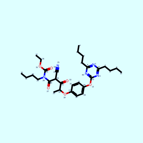 CCCCc1nc(CCCC)nc(Oc2ccc(OC(C)C(=O)C(C#N)C(=O)N(CCCC)C(=O)OCC)cc2)n1